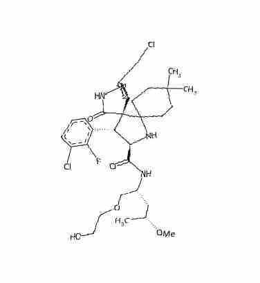 CO[C@H](C)C[C@H](COCCO)NC(=O)[C@@H]1NC2(CCC(C)(C)CC2)[C@@]2(C(=O)Nc3nc(Cl)ccc32)[C@H]1c1cccc(Cl)c1F